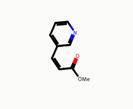 COC(=O)/C=C\c1cccnc1